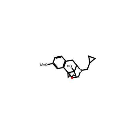 COc1ccc2c(c1)C13CCN(CC4CC4)C(C2)C1(O)CCCNC3